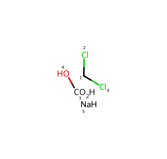 ClCCl.O=C(O)O.[NaH]